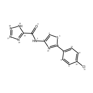 O=C(Nc1csc(-c2ccc(Cl)cc2)n1)c1nnn[nH]1